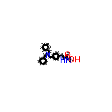 O=C(/C=C/C1=CC=C(CN(CC2CCCCC2)CC2CCCCC2)CC1)NO